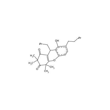 CC(C)CCc1ccc2c(c1O)C(CC(C)C)C1=C(O2)C(C)(C)C(=O)C(C)(C)C1=O